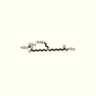 CCCCCCCCOC(=O)CCCCCCCN(CCCCCCCC(=O)OC(CCCCCCCC)CCCCCCCC)CCCNC(C)=O